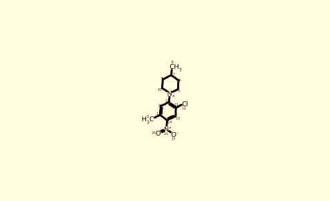 Cc1cc(N2CCC(C)CC2)c(Cl)cc1[N+](=O)[O-]